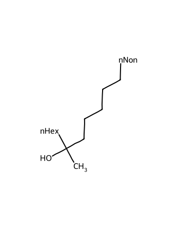 CCCCCCCCCCCCCCC(C)(O)CCCCCC